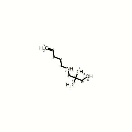 C=CCCCNCC(C)(C)CO